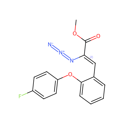 COC(=O)/C(=C/c1ccccc1Oc1ccc(F)cc1)N=[N+]=[N-]